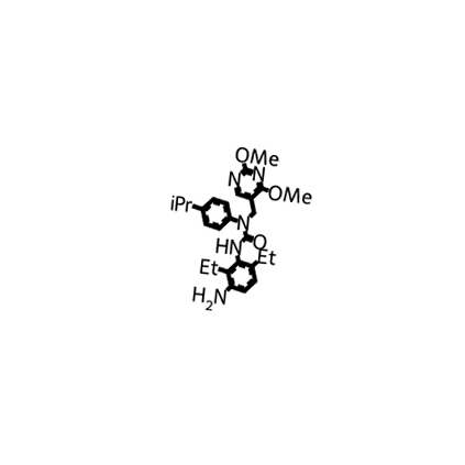 CCc1ccc(N)c(CC)c1NC(=O)N(Cc1cnc(OC)nc1OC)c1ccc(C(C)C)cc1